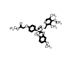 COC(=O)COc1ccc(S(=O)(=O)C2([S+]([O-])Cc3ncc(C)c(OC)c3C)N=c3ccc(OC)cc3=N2)cc1